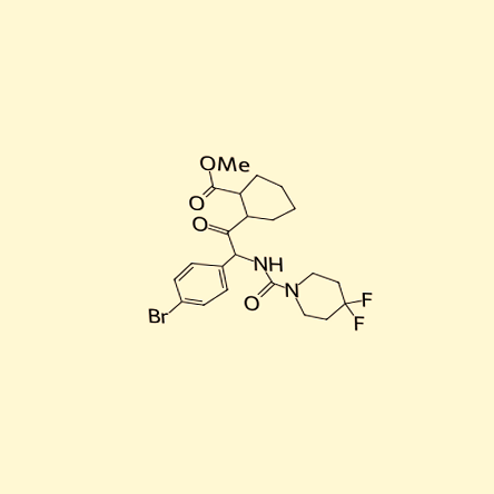 COC(=O)C1CCCCC1C(=O)C(NC(=O)N1CCC(F)(F)CC1)c1ccc(Br)cc1